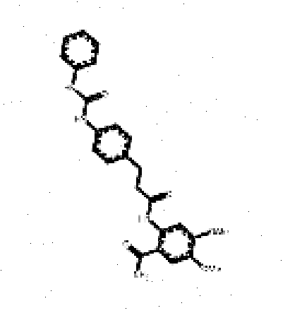 COc1cc(NC(=O)CCc2ccc(NC(=O)Nc3ccccc3)cc2)c(C(N)=O)cc1OC